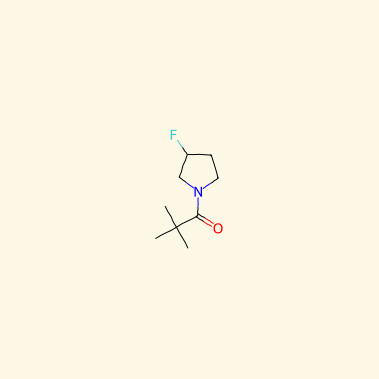 CC(C)(C)C(=O)N1CCC(F)C1